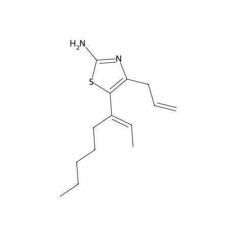 C=CCc1nc(N)sc1C(=CC)CCCCC